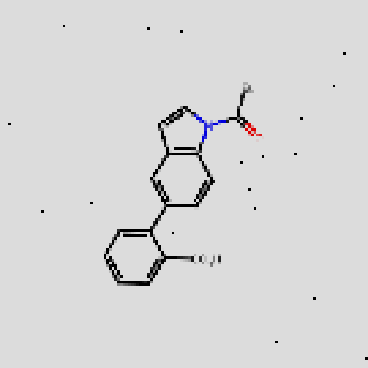 CCC(=O)n1ccc2cc(-c3ccccc3C(=O)O)ccc21